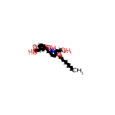 CCCCCCCCCCOc1ccc(CC(O)c2cccc(CC(=O)O)c2)nc1/C=C/CO